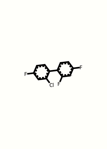 Fc1[c]c(F)c(-c2ccc(F)cc2Cl)cc1